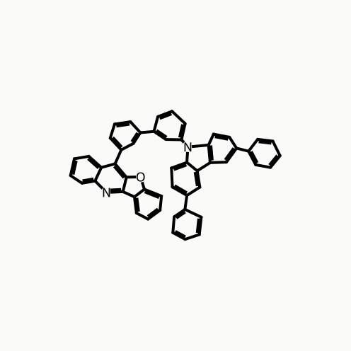 c1ccc(-c2ccc3c(c2)c2cc(-c4ccccc4)ccc2n3-c2cccc(-c3cccc(-c4c5ccccc5nc5c4oc4ccccc45)c3)c2)cc1